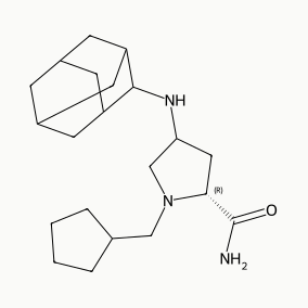 NC(=O)[C@H]1CC(NC2C3CC4CC(C3)CC2C4)CN1CC1CCCC1